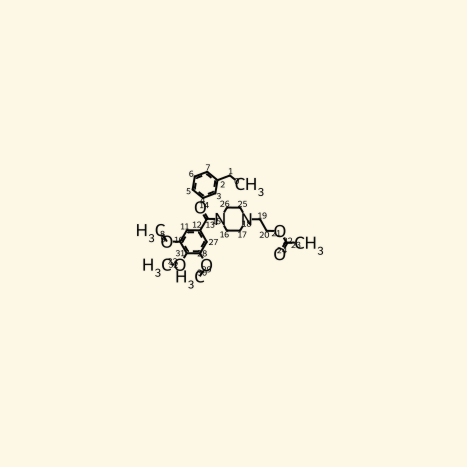 CCc1ccccc1.COc1cc(C(=O)N2CCN(CCOC(C)=O)CC2)cc(OC)c1OC